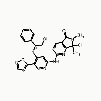 CN1C(=O)c2cnc(Nc3cc(N[C@H](CO)c4ccccc4)c(-c4ncno4)cn3)nc2C1(C)C